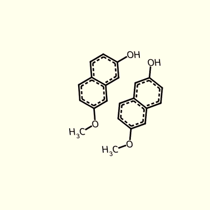 COc1ccc2cc(O)ccc2c1.COc1ccc2ccc(O)cc2c1